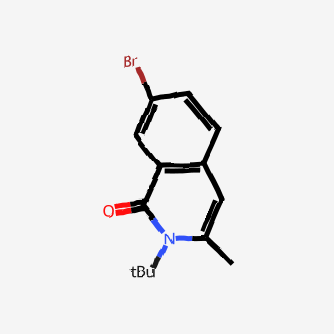 Cc1cc2ccc(Br)cc2c(=O)n1C(C)(C)C